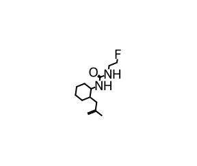 C=C(C)CC1CCCCC1NC(=O)NCCF